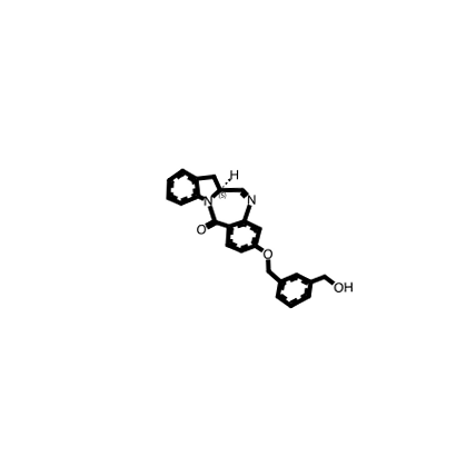 O=C1c2ccc(OCc3cccc(CO)c3)cc2N=C[C@@H]2Cc3ccccc3N12